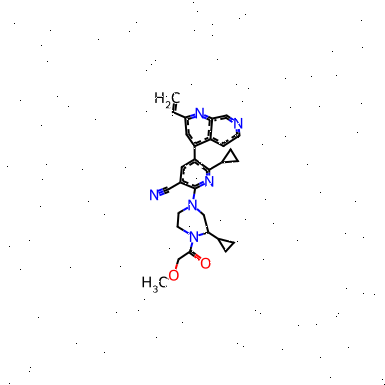 C=Cc1cc(-c2cc(C#N)c(N3CCN(C(=O)COC)C(C4CC4)C3)nc2C2CC2)c2ccncc2n1